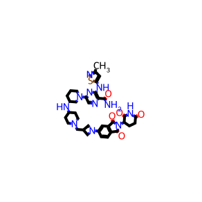 Cc1cc(Nc2nc(N3CCC[C@@H](NC4CCN(CC5CN(c6ccc7c(c6)C(=O)N(C6CCC(=O)NC6=O)C7=O)C5)CC4)C3)cnc2C(N)=O)sn1